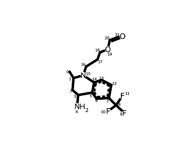 CC1CC(N)c2cc(C(F)(F)F)ccc2N1CCCOC=O